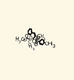 COC(=O)[C@@H](C)Oc1ccccc1C[C@H](C)COS(=O)(=O)c1ccc(C)cc1